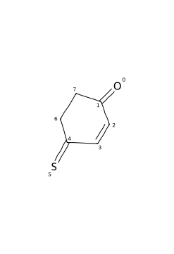 O=C1C=CC(=S)CC1